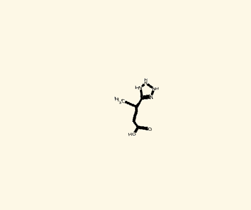 CC(CCC(=O)O)C1=NNNN1